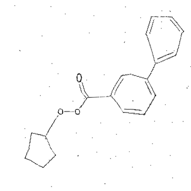 O=C(OO[C]1CCCC1)c1cccc(-c2ccccc2)c1